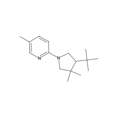 Cc1ccc(N2CC(C(C)(C)C)C(C)(C)C2)nc1